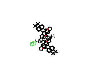 CC1=Cc2c(cc3c(c2-c2ccc(C(C)(C)C)cc2)CCC3)[C]12[SiH](C)[C]1(C(C)=Cc3c1cc1c(c3-c3ccc(C(C)(C)C)cc3)CCC1)[Zr+2]21[C]2(C(C)=Cc3c2cc2c(c3-c3ccc(C(C)(C)C)cc3)CCC2)[SiH](C)[C]12C(C)=Cc1c2cc2c(c1-c1ccc(C(C)(C)C)cc1)CCC2.[Cl-].[Cl-]